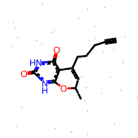 C#CCCCC1=CC(C)Oc2[nH]c(=O)[nH]c(=O)c21